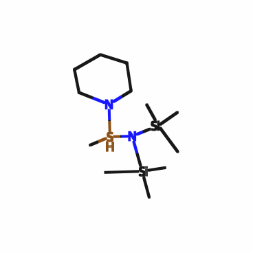 C[SH](N1CCCCC1)N([Si](C)(C)C)[Si](C)(C)C